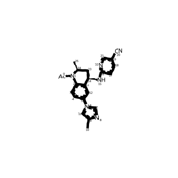 CC(=O)N1c2ccc(-n3cnc(C)c3)cc2[C@H](Nc2ccc(C#N)cn2)C[C@@H]1C